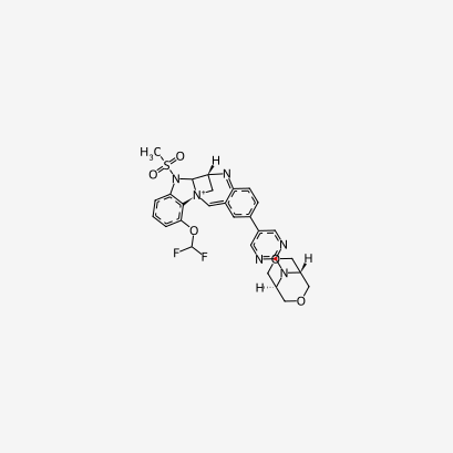 CS(=O)(=O)N1c2cccc(OC(F)F)c2[N@+]23C=c4cc(-c5cnc(N6[C@H]7COC[C@H]6COC7)nc5)ccc4=N[C@H](C2)C13